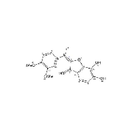 COc1ccc(/C(C)=C2/Oc3c(ccc(O)c3O)C2=O)cc1OC